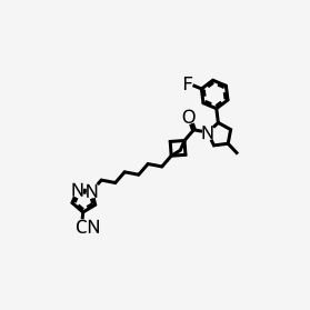 CC1CC(c2cccc(F)c2)N(C(=O)C23CC(CCCCCCn4cc(C#N)cn4)(C2)C3)C1